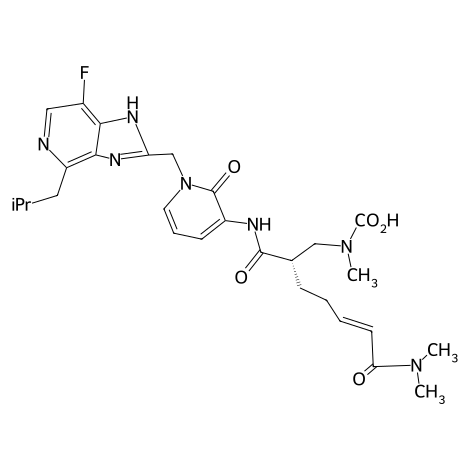 CC(C)Cc1ncc(F)c2[nH]c(Cn3cccc(NC(=O)[C@@H](CC/C=C/C(=O)N(C)C)CN(C)C(=O)O)c3=O)nc12